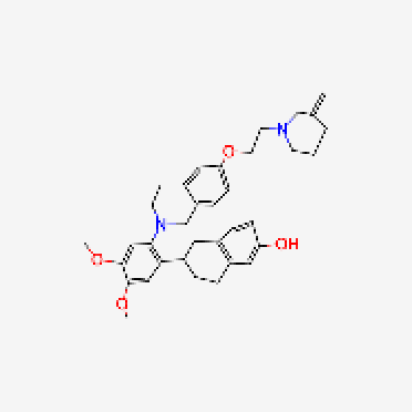 C=C1CCCN(CCOc2ccc(CN(CC)c3cc(OC)c(OC)cc3C3CCc4cc(O)ccc4C3)cc2)C1